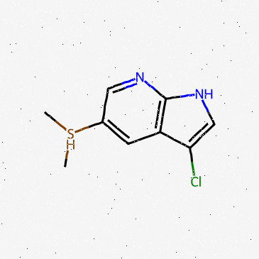 C[SH](C)c1cnc2[nH]cc(Cl)c2c1